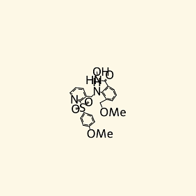 COCc1cccc(C(=O)NO)c1NCc1cccnc1S(=O)(=O)c1ccc(OC)cc1